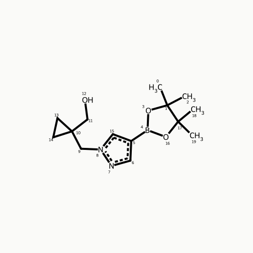 CC1(C)OB(c2cnn(CC3(CO)CC3)c2)OC1(C)C